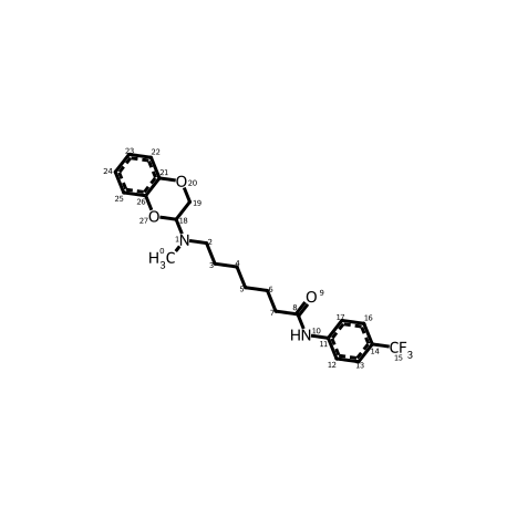 CN(CCCCCCC(=O)Nc1ccc(C(F)(F)F)cc1)C1COc2ccccc2O1